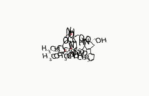 COc1c(C)cc2c(c1O)[C@H](N(C)C)[C@@H]1[C@@H]3SC[C@]4(N[C@H](CO)Cc5c4oc4ccccc54)C(=O)OC[C@@H](c4c5c(c(C)c(OC(C)=O)c43)OCO5)N1C(C#N)C2